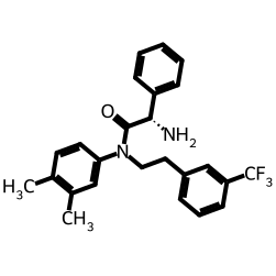 Cc1ccc(N(CCc2cccc(C(F)(F)F)c2)C(=O)[C@@H](N)c2ccccc2)cc1C